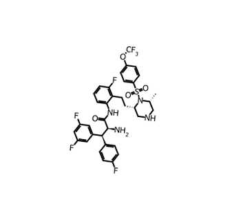 C[C@@H]1CNC[C@H](CCc2c(F)cccc2NC(=O)[C@@H](N)[C@@H](c2ccc(F)cc2)c2cc(F)cc(F)c2)N1S(=O)(=O)c1ccc(OC(F)(F)F)cc1